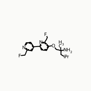 CC(C)CC(C)(N)COc1ccc(-c2ccnc(CF)c2)nc1CF